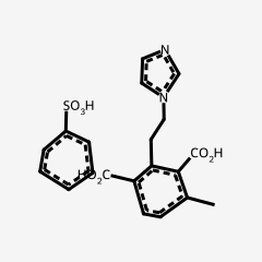 Cc1ccc(C(=O)O)c(CCn2ccnc2)c1C(=O)O.O=S(=O)(O)c1ccccc1